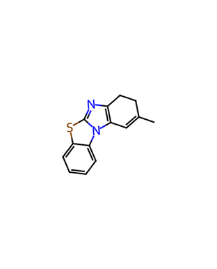 CC1=Cc2c(nc3sc4ccccc4n23)CC1